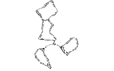 [c]1ccc2cc(N(c3ccccc3)c3ccccc3)ccc2c1